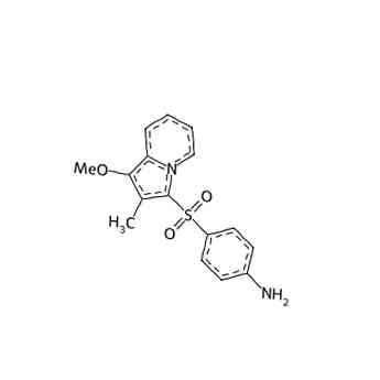 COc1c(C)c(S(=O)(=O)c2ccc(N)cc2)n2ccccc12